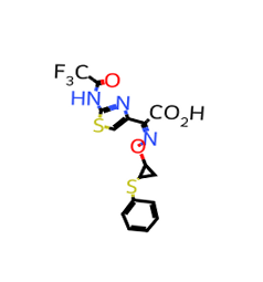 O=C(O)/C(=N/OC1CC1Sc1ccccc1)c1csc(NC(=O)C(F)(F)F)n1